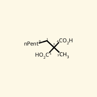 CCCCCCC(C)(C(=O)O)C(=O)O